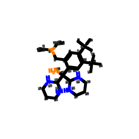 CC(C)(C)P(Cc1cc([Si](C)(C)C)c([Si](C)(C)C)cc1C(P)(C1NCCCN1)C1NCCCN1)C(C)(C)C